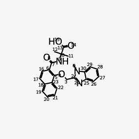 Cn1c(COc2c(C(=O)NC(C)(C)C(=O)O)ccc3ccccc23)nc2ccccc21